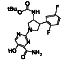 CC(C)(C)OC(=O)NC1CN(c2ncc(O)c(C(N)=O)n2)CC1c1cc(F)ccc1F